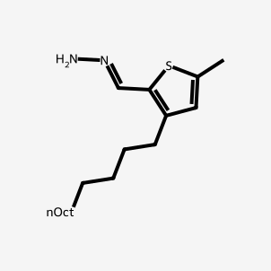 CCCCCCCCCCCCc1cc(C)sc1C=NN